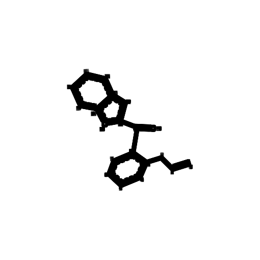 C=CCc1ccccc1C(=O)c1cc2ccccc2o1